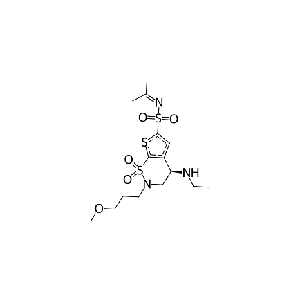 CCN[C@H]1CN(CCCOC)S(=O)(=O)c2sc(S(=O)(=O)N=C(C)C)cc21